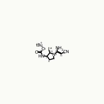 CC(C)(C)OC(=O)NC1CCN(C(N)=CC#N)C1I